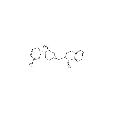 O=C1c2ccccc2CCC1CN1CCC(O)(c2cccc(Cl)c2)CC1